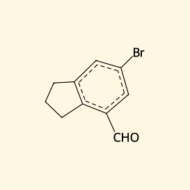 O=Cc1cc(Br)cc2c1CCC2